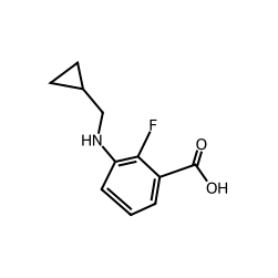 O=C(O)c1cccc(NCC2CC2)c1F